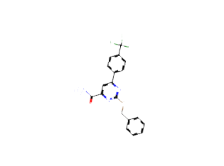 NC(=O)c1cc(-c2ccc(C(F)(F)F)cc2)nc(SCc2ccccc2)n1